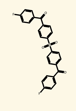 O=C(c1ccc(F)cc1)c1ccc(S(=O)(=O)c2ccc(C(=O)c3ccc(F)cc3)cc2)cc1